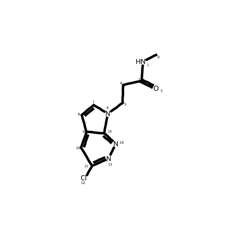 CNC(=O)CCn1ccc2cc(Cl)nnc21